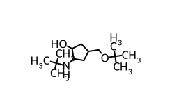 CC(C)(C)NC1CC(COC(C)(C)C)CC1O